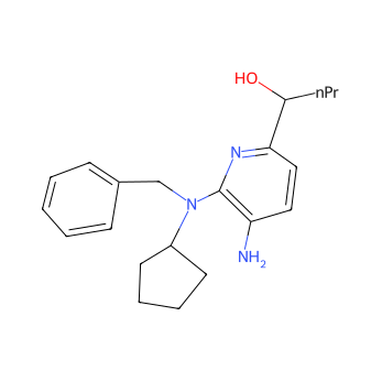 CCCC(O)c1ccc(N)c(N(Cc2ccccc2)C2CCCC2)n1